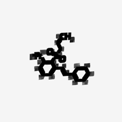 C=CCS(=O)(=O)c1c(C=Cc2ccccc2)cccc1CCC